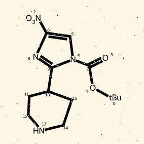 CC(C)(C)OC(=O)n1cc([N+](=O)[O-])nc1C1CCNCC1